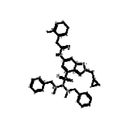 CB(Cc1ccccc1)N(B(C)Cc1ccccc1)S(=O)(=O)c1cc(NC(=O)CC2=CCCC=C2C)cc2nn(CC3CC3)cc12